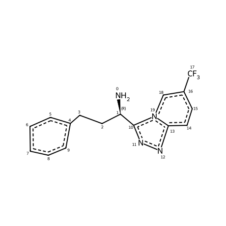 N[C@H](CCc1ccccc1)c1nnc2ccc(C(F)(F)F)cn12